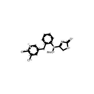 CON(C1=NC(=O)OC1)c1ccccc1Cc1cnc(Cl)c(Cl)c1